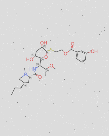 CCC[C@@H]1C[C@@H](C(=O)N[C@@H]([C@H]2O[C@H](SCCOC(=O)c3cccc(O)c3)[C@H](O)C[C@H]2O)[C@@H](C)OC)N(C)C1